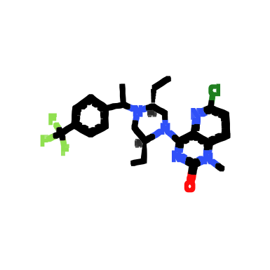 CC[C@H]1CN(C(C)c2ccc(C(F)(F)F)cc2)[C@H](CC)CN1c1nc(=O)n(C)c2ccc(Cl)nc12